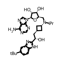 CC(C)N(C[C@H]1O[C@@H](n2cnc3c(N)ncnc32)[C@H](O)[C@@H]1O)[C@H]1C[C@H](C[C@H](O)c2nc3cc(C(C)(C)C)ccc3[nH]2)C1